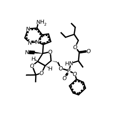 CCC(CC)COC(=O)C(C)NP(=O)(OC[C@H]1O[C@@](C#N)(c2ccc3c(N)ncnn23)[C@@H]2OC(C)(C)O[C@@H]21)Oc1ccccc1